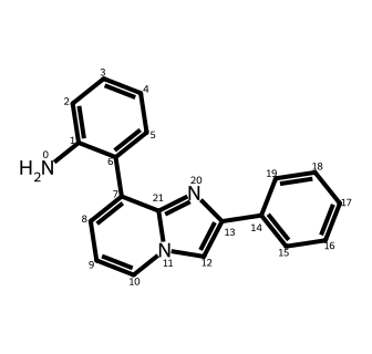 Nc1ccccc1-c1cccn2cc(-c3ccccc3)nc12